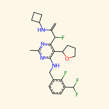 C=C(NC1CCC1)C(F)c1nc(C)nc(NCc2cccc(C(F)F)c2F)c1C1CCCO1